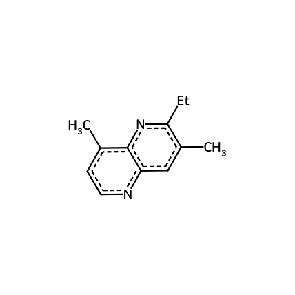 CCc1nc2c(C)ccnc2cc1C